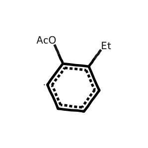 CCc1ccc[c]c1OC(C)=O